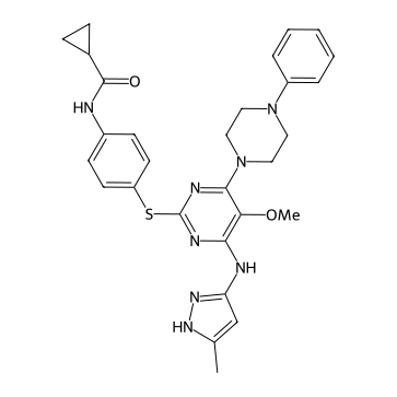 COc1c(Nc2cc(C)[nH]n2)nc(Sc2ccc(NC(=O)C3CC3)cc2)nc1N1CCN(c2ccccc2)CC1